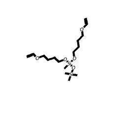 C=COCCCCO[Si](C)(OCCCCOC=C)O[Si](C)(C)C